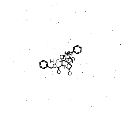 CC1(C)[C@H](C(=O)OCc2ccccc2)N2C(=O)C[C@H]2[S@@]1(CO)C(=O)Nc1ccccc1